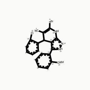 CCCC1=C(C#N)C(c2ccccc2Cl)c2c(n[nH]c2-c2ccccc2OC)N1